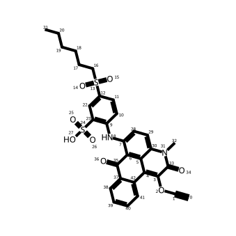 C#COc1c2c3c(c(Nc4ccc(S(=O)(=O)CCCCCC)cc4S(=O)(=O)O)ccc3n(C)c1=O)C(=O)c1ccccc1-2